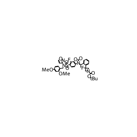 COc1ccc(CN(c2ccon2)S(=O)(=O)c2ccc3c(oc(=O)n3C(C)c3ccccc3C3(F)CN(C(=O)OC(C)(C)C)C3)c2F)c(OC)c1